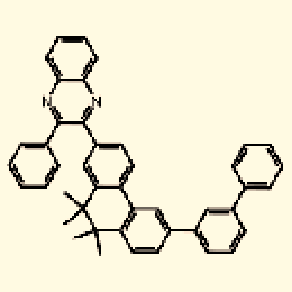 CC1(C)c2ccc(-c3cccc(-c4ccccc4)c3)cc2-c2ccc(-c3nc4ccccc4nc3-c3ccccc3)cc2C1(C)C